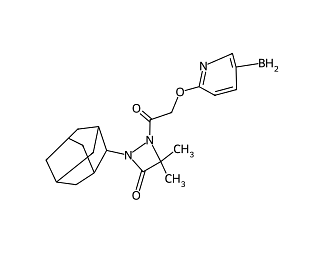 Bc1ccc(OCC(=O)N2N(C3C4CC5CC(C4)CC3C5)C(=O)C2(C)C)nc1